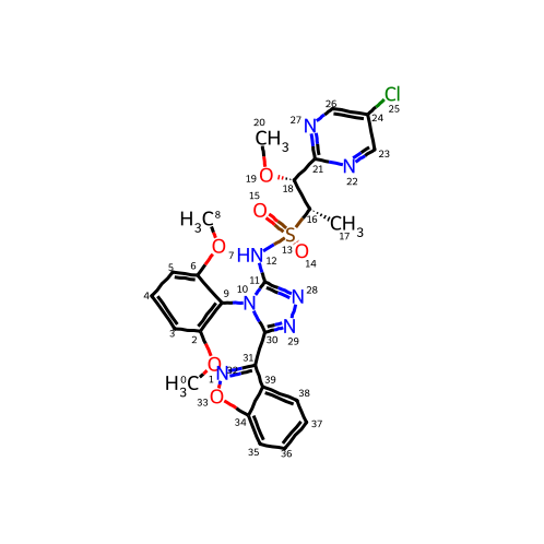 COc1cccc(OC)c1-n1c(NS(=O)(=O)[C@@H](C)[C@H](OC)c2ncc(Cl)cn2)nnc1-c1noc2ccccc12